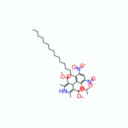 CCCCCCCCCCCCCCCc1c([N+](=O)[O-])cc([N+](=O)[O-])c(OC(C)C)c1C1C(C(=O)OC)=C(C)NC(C)=C1C(=O)OC